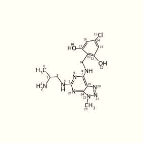 CC(N)CNc1nc(NCc2c(O)cc(Cl)cc2O)c2nnn(C)c2n1